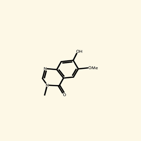 COc1cc2c(=O)n(C)cnc2cc1O